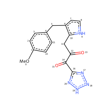 COc1ccc(Cc2cc[nH]c2CC(=O)C(=O)c2nn[nH]n2)cc1